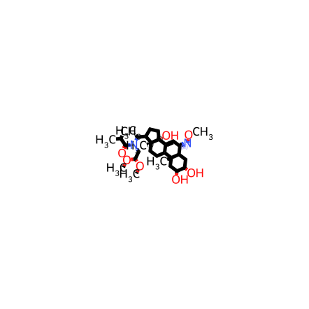 CO/N=C1\C=C2C(CC[C@]3(C)C(C(C)N(CC(OC)OC)C(=O)C(C)C)CC[C@@]23O)C2(C)CC(O)C(O)CC12